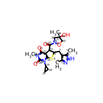 Cc1n[nH]c(C)c1CC1Sc2c(c(=O)n(C)c(=O)n2C2CC2)C1C(=O)N1C[C@](C)(O)CO1